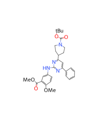 COC(=O)c1cc(Nc2nc(-c3ccccc3)cc(C3CCN(C(=O)OC(C)(C)C)CC3)n2)ccc1OC